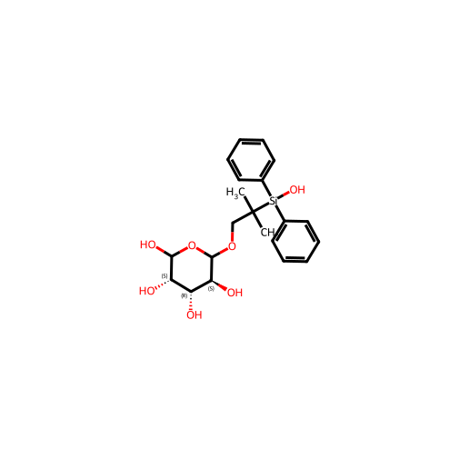 CC(C)(COC1OC(O)[C@@H](O)[C@@H](O)[C@@H]1O)[Si](O)(c1ccccc1)c1ccccc1